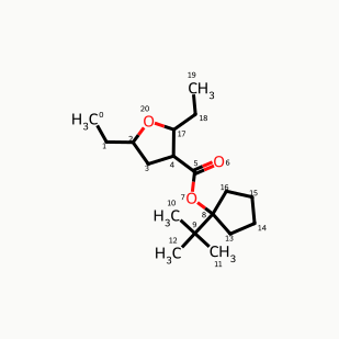 CCC1CC(C(=O)OC2(C(C)(C)C)CCCC2)C(CC)O1